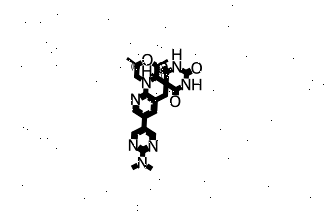 C[C@@H]1CN2c3ncc(-c4cnc(N(C)C)nc4)cc3CC3(C(=O)NC(=O)NC3=O)[C@H]2[C@H](C)O1